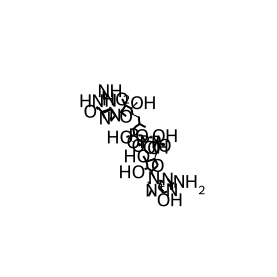 CC(C[C@H]1O[C@@H](n2cnc3c(=O)[nH]c(N)nc32)C(O)[C@H]1O)CP(=O)(O)OP(=O)(O)CP(=O)(O)OC[C@H]1O[C@@H](n2c[n+](C)c3c(O)nc(N)nc32)C(O)C1O